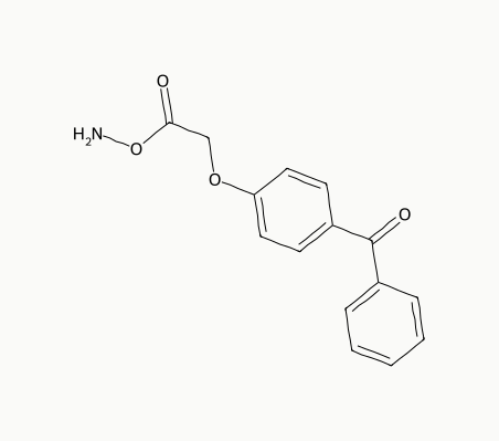 NOC(=O)COc1ccc(C(=O)c2ccccc2)cc1